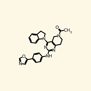 CC(=O)N1CCc2nc(Nc3ccc(-c4cnco4)cc3)nc(N3CCc4ccccc43)c2C1